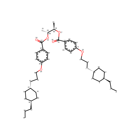 CCC[C@H]1CC[C@H](CCCOc2ccc(C(=O)O[C@H](C)[C@@H](C)OC(=O)c3ccc(OCCC[C@H]4CC[C@H](CCC)CC4)cc3)cc2)CC1